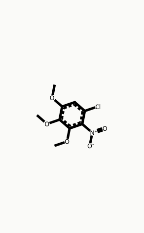 COc1cc(Cl)c([N+](=O)[O-])c(OC)c1OC